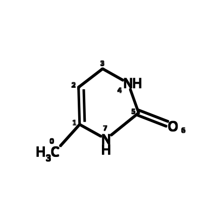 CC1=CCNC(=O)N1